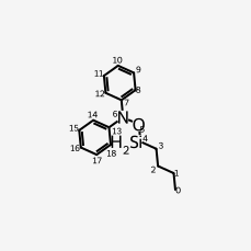 CCCC[SiH2]ON(c1ccccc1)c1ccccc1